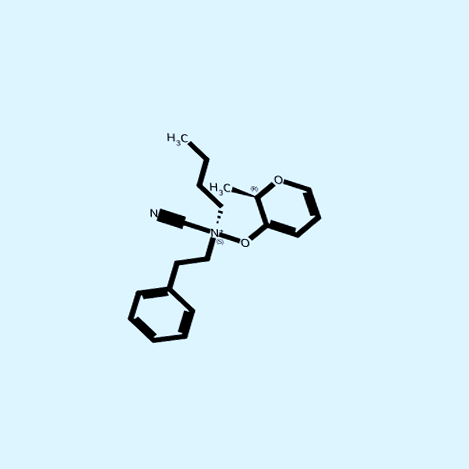 CCCC[N@@+](C#N)(CCc1ccccc1)OC1=CC=CO[C@@H]1C